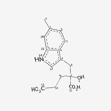 Cc1ccc2c(CC(O)(CCC(=O)O)C(=O)O)c[nH]c2c1